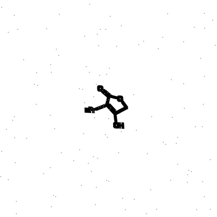 CCCC1=C(O)COC1=O